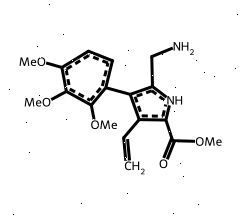 C=Cc1c(C(=O)OC)[nH]c(CN)c1-c1ccc(OC)c(OC)c1OC